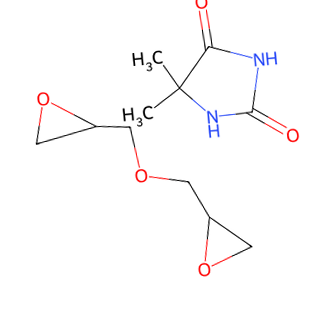 C(OCC1CO1)C1CO1.CC1(C)NC(=O)NC1=O